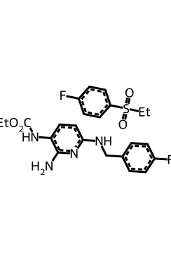 CCOC(=O)Nc1ccc(NCc2ccc(F)cc2)nc1N.CCS(=O)(=O)c1ccc(F)cc1